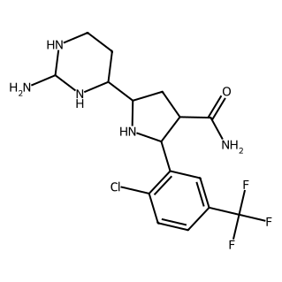 NC(=O)C1CC(C2CCNC(N)N2)NC1c1cc(C(F)(F)F)ccc1Cl